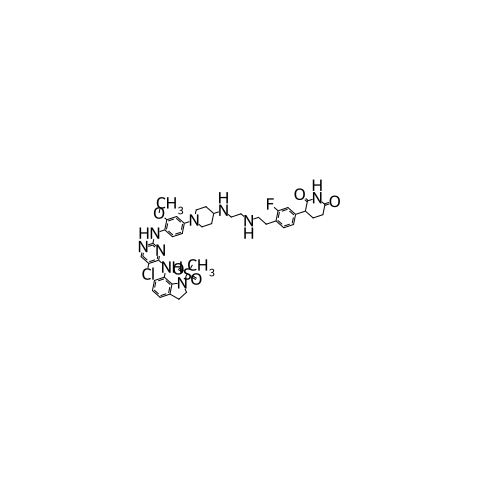 COc1cc(N2CCC(NCCNCCc3ccc(C4CCC(=O)NC4=O)cc3F)CC2)ccc1Nc1ncc(Cl)c(Nc2cccc3c2N(S(C)(=O)=O)CC3)n1